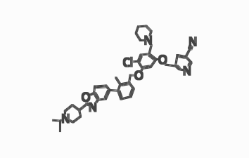 Cc1c(COc2cc(OCc3cncc(C#N)c3)c(CN3CCCCC3)cc2Cl)cccc1-c1ccc2oc(C3CCN(C(C)C)CC3)nc2c1